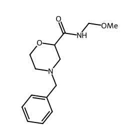 COCNC(=O)C1CN(Cc2ccccc2)CCO1